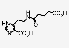 O=C(O)CCCC(=O)NCCc1[nH]cnc1C(=O)O